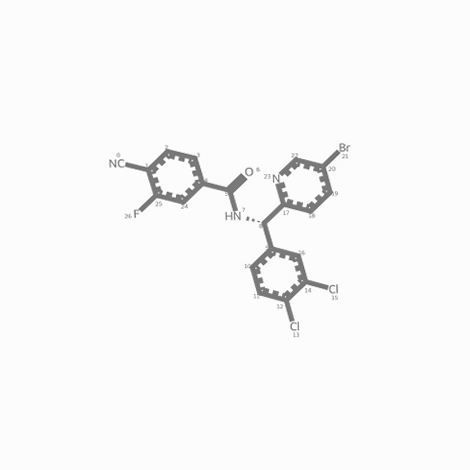 N#Cc1ccc(C(=O)N[C@@H](c2ccc(Cl)c(Cl)c2)c2ccc(Br)cn2)cc1F